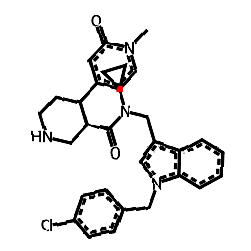 Cn1ccc(C2CCNC[C@@H]2C(=O)N(Cc2cn(Cc3ccc(Cl)cc3)c3ccccc23)C2CC2)cc1=O